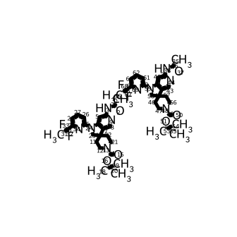 CC(=O)Nc1cc2c(cn1)C1(CCN(C(=O)OC(C)(C)C)CC1)CN2c1cccc(C(C)(F)F)n1.CC(=O)Nc1cc2c(cn1)C1(CCN(C(=O)OC(C)(C)C)CC1)CN2c1cccc(C(C)(F)F)n1